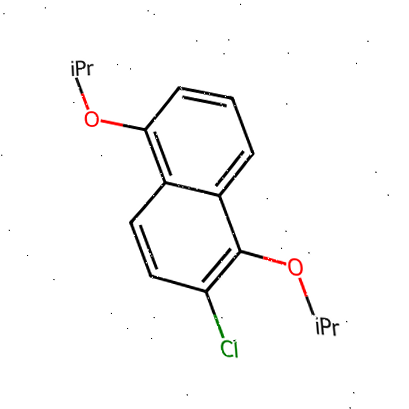 CC(C)Oc1cccc2c(OC(C)C)c(Cl)ccc12